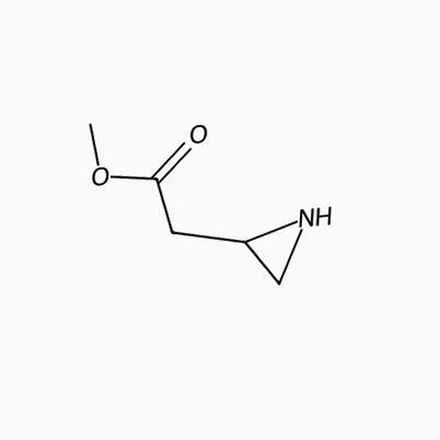 COC(=O)CC1CN1